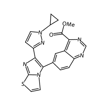 COC(=O)c1ncnc2ccc(-c3c(-c4ccn(C5CC5)n4)nc4sccn34)cc12